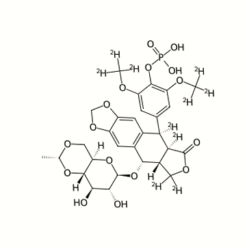 [2H]C([2H])([2H])Oc1cc([C@]2([2H])c3cc4c(cc3[C@@H](O[C@@H]3O[C@@H]5CO[C@@H](C)O[C@H]5[C@H](O)[C@H]3O)[C@H]3C([2H])([2H])OC(=O)[C@@]32[2H])OCO4)cc(OC([2H])([2H])[2H])c1OP(=O)(O)O